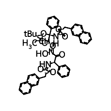 CC(C)(C)[Si](C)(C)O[C@@](NS(=O)(=O)Cc1ccc2ccccc2c1)(C(=O)ON(O)C(=O)[C@H](NS(=O)(=O)Cc1ccc2ccccc2c1)c1ccccc1)c1ccccc1